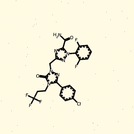 NC(=O)c1nc(Cn2nc(-c3ccc(Cl)cc3)n(CCC(F)(F)F)c2=O)nn1-c1c(F)cccc1F